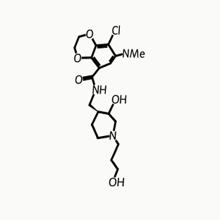 CNc1cc(C(=O)NC[C@@H]2CCN(CCCO)CC2O)c2c(c1Cl)OCCO2